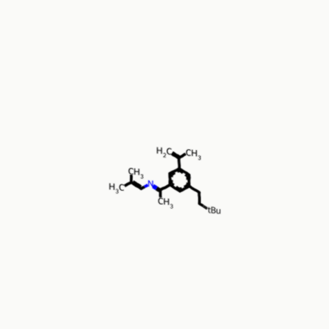 C=C(C)c1cc(CCC(C)(C)C)cc(/C(C)=N/C=C(C)C)c1